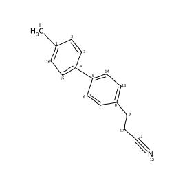 Cc1ccc(-c2ccc(CCC#N)cc2)cc1